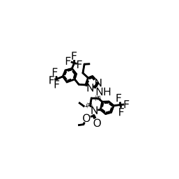 CCCc1cnc(N[C@H]2C[C@@H](CC)N(C(=O)OCC)c3ccc(C(F)(F)F)cc32)nc1Cc1cc(C(F)(F)F)cc(C(F)(F)F)c1